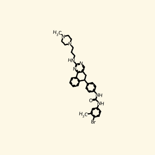 Cc1cc(NC(=O)Nc2ccc(C3Cc4cnc(NCCCN5CCN(C)CC5)nc4-c4ccccc43)cc2)ccc1Br